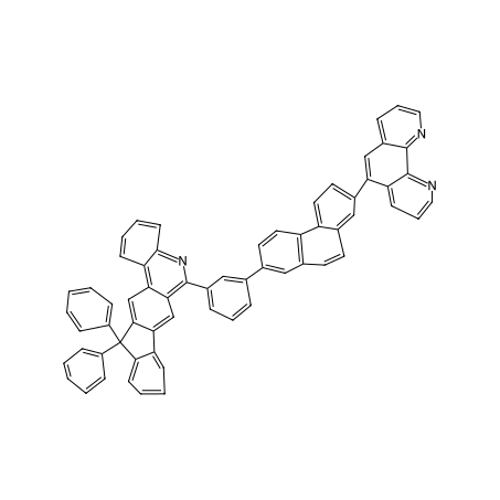 c1ccc(C2(c3ccccc3)c3ccccc3-c3cc4c(-c5cccc(-c6ccc7c(ccc8cc(-c9cc%10cccnc%10c%10ncccc9%10)ccc87)c6)c5)nc5ccccc5c4cc32)cc1